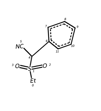 CCS(=O)(=O)C(C#N)c1ccccc1